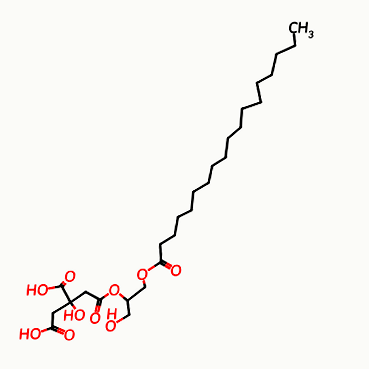 CCCCCCCCCCCCCCCCCC(=O)OCC(CO)OC(=O)CC(O)(CC(=O)O)C(=O)O